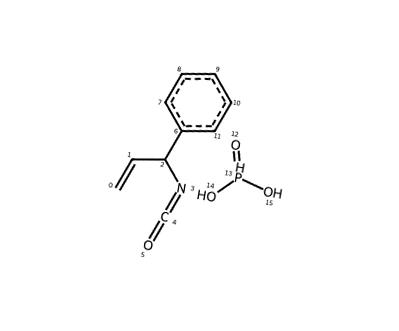 C=CC(N=C=O)c1ccccc1.O=[PH](O)O